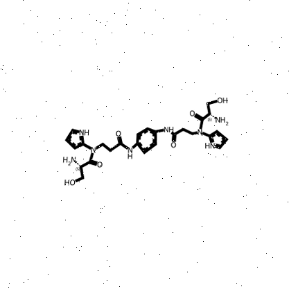 N[C@@H](CO)C(=O)N(CCC(=O)Nc1ccc(NC(=O)CCN(C(=O)[C@@H](N)CO)c2ccc[nH]2)cc1)c1ccc[nH]1